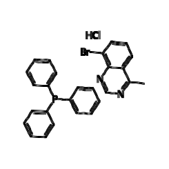 Cc1ncnc2c(Br)cccc12.Cl.c1ccc(P(c2ccccc2)c2ccccc2)cc1